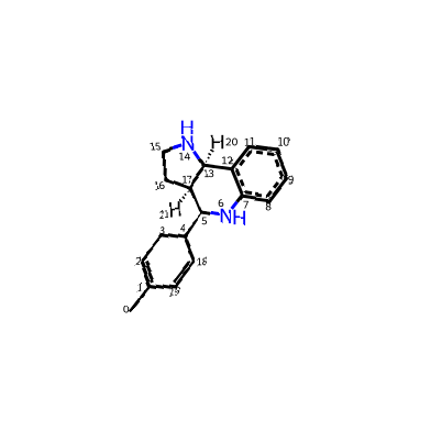 CC1=CCC([C@@H]2Nc3ccccc3[C@@H]3NCC[C@@H]32)C=C1